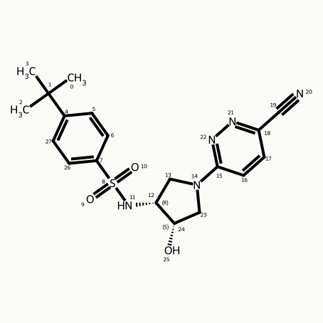 CC(C)(C)c1ccc(S(=O)(=O)N[C@@H]2CN(c3ccc(C#N)nn3)C[C@@H]2O)cc1